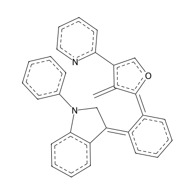 C=c1c(-c2ccccn2)co/c1=c1\cccc\c1=C1\CN(c2ccccc2)c2ccccc21